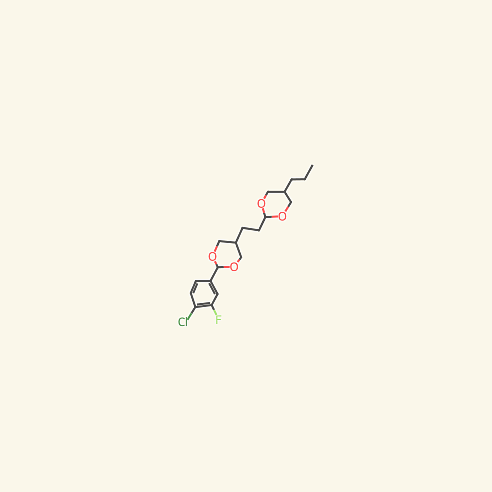 CCCC1COC(CCC2COC(c3ccc(Cl)c(F)c3)OC2)OC1